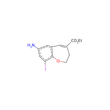 CCOC(=O)C1=Cc2cc(N)cc(I)c2OCC1